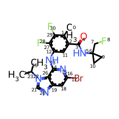 Cc1c(C(=O)NC2(CF)CC2)cc(Nc2nc(Br)cc3ncn(C(C)C)c23)c(F)c1F